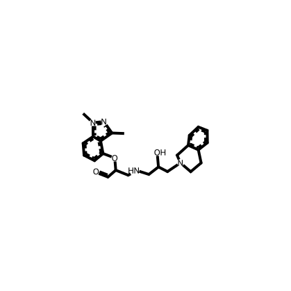 Cc1nn(C)c2cccc(OC(C=O)CNCC(O)CN3CCc4ccccc4C3)c12